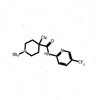 CC(C)(C)N1CCC(C#N)(C(=O)Nc2ccc(C(F)(F)F)cn2)CC1